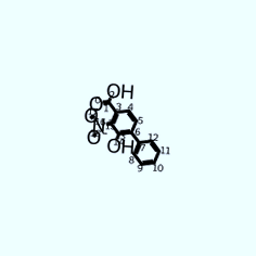 O=C(O)c1ccc(-c2ccccc2)c(O)c1[N+](=O)[O-]